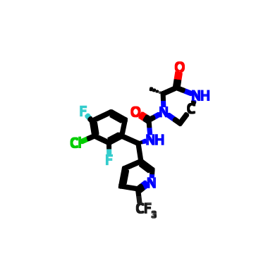 C[C@@H]1C(=O)NCCN1C(=O)N[C@@H](c1ccc(C(F)(F)F)nc1)c1ccc(F)c(Cl)c1F